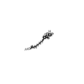 O=C(CO)NCCCCCCCCC#Cc1ccc2c(c1)C(=O)N(C1CCC(=O)NC1=O)C2=O